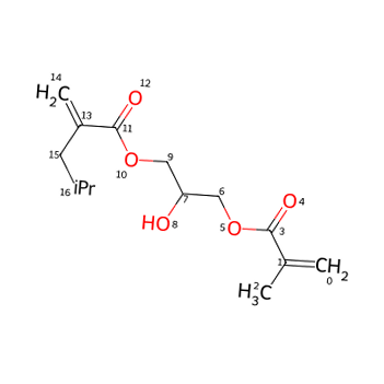 C=C(C)C(=O)OCC(O)COC(=O)C(=C)CC(C)C